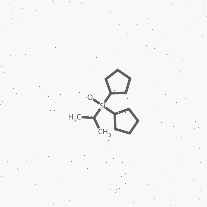 CC(C)[Si]([O])(C1CCCC1)C1CCCC1